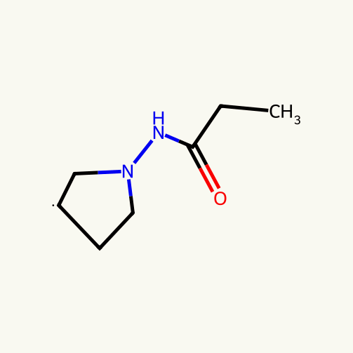 CCC(=O)NN1C[CH]CC1